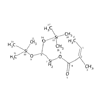 CC=C(C)C(=O)O[SiH2]C(O[Si](C)(C)C)O[Si](C)(C)C